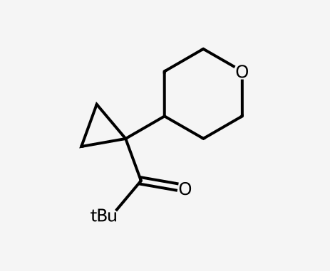 CC(C)(C)C(=O)C1(C2CCOCC2)CC1